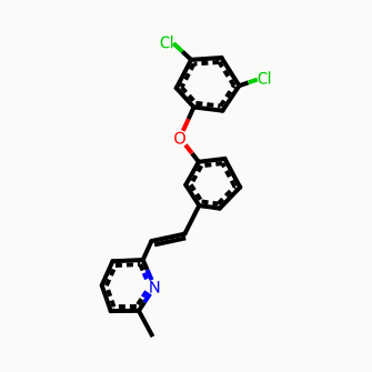 Cc1cccc(C=Cc2cccc(Oc3cc(Cl)cc(Cl)c3)c2)n1